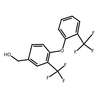 OCc1ccc(Oc2ccccc2C(F)(F)F)c(C(F)(F)F)c1